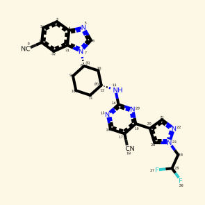 N#Cc1ccc2ncn([C@H]3CCC[C@@H](Nc4ncc(C#N)c(-c5cnn(CC(F)F)c5)n4)C3)c2c1